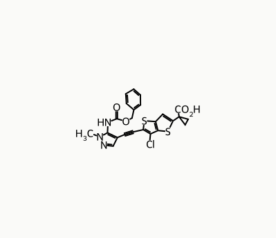 Cn1ncc(C#Cc2sc3cc(C4(C(=O)O)CC4)sc3c2Cl)c1NC(=O)OCc1ccccc1